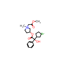 COC(=O)C[N@@+]1(C)CC[C@H](OC(=O)[C@@](O)(c2ccccc2)C2CCCC2)C1.[Br-]